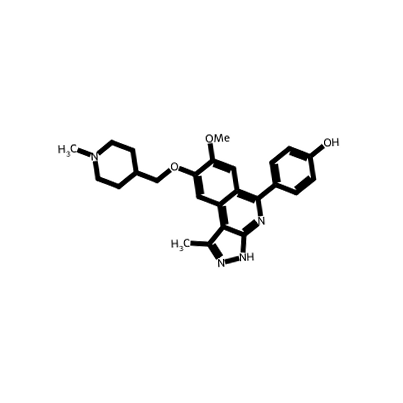 COc1cc2c(-c3ccc(O)cc3)nc3[nH]nc(C)c3c2cc1OCC1CCN(C)CC1